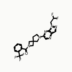 O=C(c1ccccc1C(F)(F)F)N1CC2(CCN(c3cnc4cnn(CC(F)F)c4n3)C2)C1